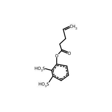 C=CCCC(=O)Oc1cccc(S(=O)(=O)O)c1S(=O)(=O)O